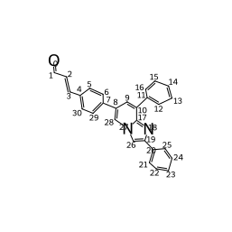 O=CC=Cc1ccc(-c2cc(-c3ccccc3)c3nc(-c4ccccc4)cn3c2)cc1